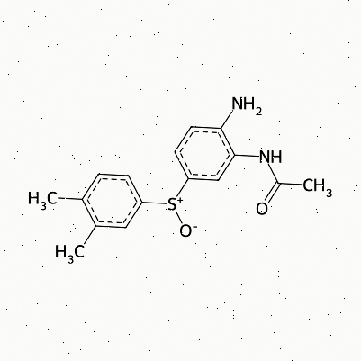 CC(=O)Nc1cc([S+]([O-])c2ccc(C)c(C)c2)ccc1N